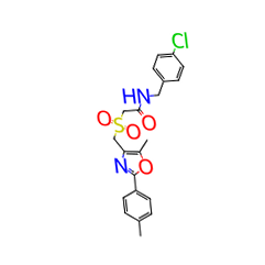 Cc1ccc(-c2nc(CS(=O)(=O)CC(=O)NCc3ccc(Cl)cc3)c(C)o2)cc1